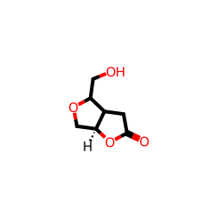 O=C1CC2C(CO)OC[C@@H]2O1